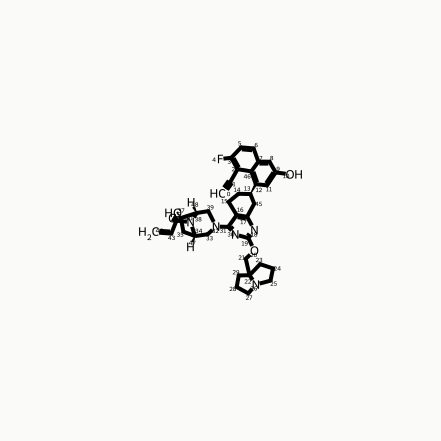 C#Cc1c(F)ccc2cc(O)cc([C@@H]3CCc4c(nc(OCC56CCCN5CCC6)nc4N4C[C@@H]5C[C@H](O)[C@H](C4)N5C(=O)C=C)C3)c12